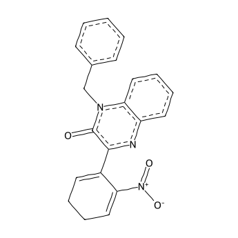 O=c1c(C2=CCCC=C2[N+](=O)[O-])nc2ccccc2n1Cc1ccccc1